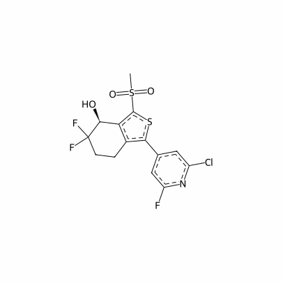 CS(=O)(=O)c1sc(-c2cc(F)nc(Cl)c2)c2c1[C@H](O)C(F)(F)CC2